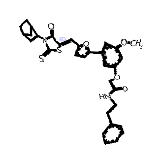 COc1cc(OCC(=O)NCCc2ccccc2)cc(-c2ccc(/C=C3\SC(=S)N(C4CC5CCC4C5)C3=O)o2)c1